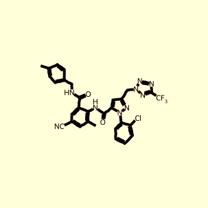 Cc1ccc(CNC(=O)c2cc(C#N)cc(C)c2NC(=O)c2cc(Cn3nnc(C(F)(F)F)n3)nn2-c2ccccc2Cl)cc1